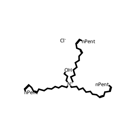 CCCCC/C=C\C/C=C\CCCCCCCC[N+](CCCO)(CCCCCCCC/C=C\C/C=C\CCCCC)CCCCCCCC/C=C\C/C=C\CCCCC.[Cl-]